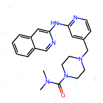 CN(C)C(=O)N1CCN(Cc2ccnc(Nc3cc4ccccc4cn3)c2)CC1